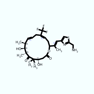 C/C(=C\c1csc(CN)n1)C1C/C=C(/C(F)(F)F)C/C=C/[C@H](C)[C@H](O)[C@@H](C)C(=O)C(C)(C)[C@@H](O)CC(=O)O1